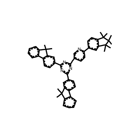 CC1(C)c2ccccc2-c2ccc(-c3nc(-c4ccc(-c5ccc6c(c5)C(C)(C)C(C)(C)C6(C)C)nc4)nc(-c4ccc5c(c4)C(C)(C)c4ccccc4-5)n3)cc21